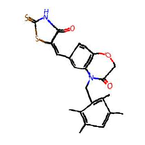 Cc1cc(C)c(C)c(CN2C(=O)COc3ccc(C=C4SC(=S)NC4=O)cc32)c1C